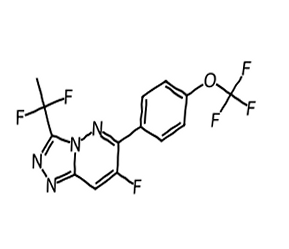 CC(F)(F)c1nnc2cc(F)c(-c3ccc(OC(F)(F)F)cc3)nn12